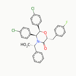 O=C(O)[C@@H](c1ccccc1)N1C(=O)[C@@H](Cc2ccc(F)cc2)O[C@H](c2ccc(Cl)cc2)[C@@H]1c1ccc(Cl)cc1